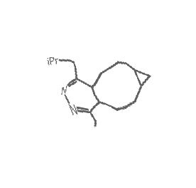 CC1=NN=C(CC(C)C)C2CCC3CC3CCC12